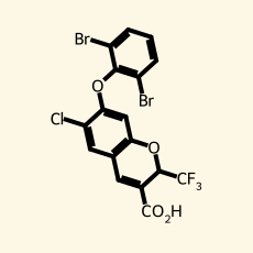 O=C(O)C1=Cc2cc(Cl)c(Oc3c(Br)cccc3Br)cc2OC1C(F)(F)F